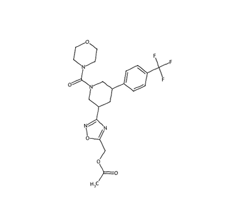 CC(=O)OCc1nc(C2CC(c3ccc(C(F)(F)F)cc3)CN(C(=O)N3CCOCC3)C2)no1